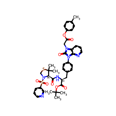 Cc1ccc(OC(=O)Cn2c(=O)n(-c3ccc(C[C@H](NC(=O)[C@H]4N(S(=O)(=O)c5cccnc5)CSC4(C)C)C(=O)OC(C)(C)C)cc3)c3ncccc32)cc1